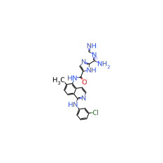 Cc1ccc2c(Nc3cccc(Cl)c3)nccc2c1NC(=O)c1cnc(/C(N)=N\C=N)[nH]1